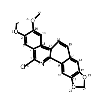 COc1cc2c(Cl)nc3c4cc5c(cc4ccc3c2cc1OC)OCO5